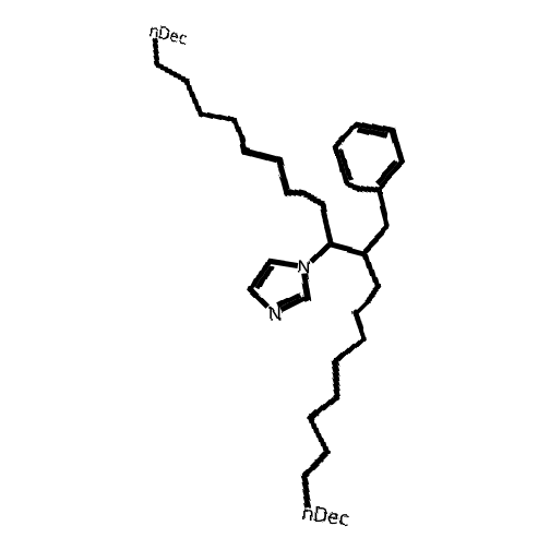 CCCCCCCCCCCCCCCCCCC(Cc1ccccc1)C(CCCCCCCCCCCCCCCCCC)n1ccnc1